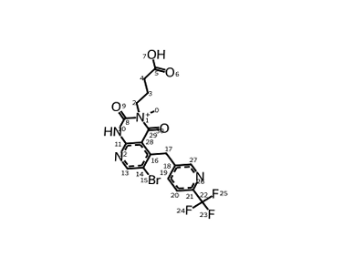 C[N+]1(CCCC(=O)O)C(=O)Nc2ncc(Br)c(Cc3ccc(C(F)(F)F)nc3)c2C1=O